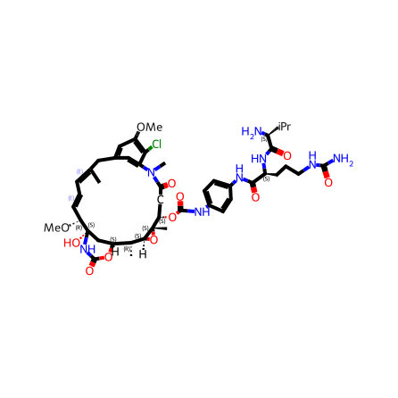 COc1cc2cc(c1Cl)N(C)C(=O)C[C@H](OC(=O)Nc1ccc(NC(=O)[C@H](CCCNC(N)=O)NC(=O)[C@@H](N)C(C)C)cc1)[C@]1(C)O[C@H]1[C@H](C)[C@@H]1C[C@@](O)(NC(=O)O1)[C@H](OC)/C=C/C=C(\C)C2